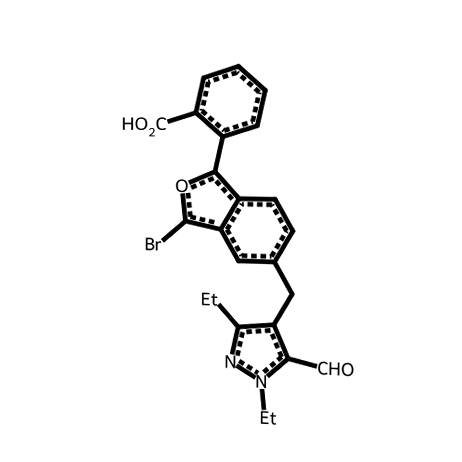 CCc1nn(CC)c(C=O)c1Cc1ccc2c(-c3ccccc3C(=O)O)oc(Br)c2c1